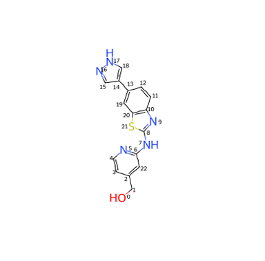 OCc1ccnc(Nc2nc3ccc(-c4cn[nH]c4)cc3s2)c1